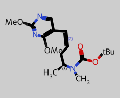 COc1ncc(/C=C\C[C@H](C)N(C)C(=O)OC(C)(C)C)c(OC)n1